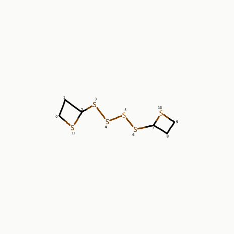 C1CC(SSSSC2CCS2)S1